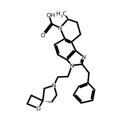 C[C@H]1CCc2c(ccc3c2nc(Cc2ccccc2)n3CCN2CC[C@]3(CCO3)C2)N1C(=O)O